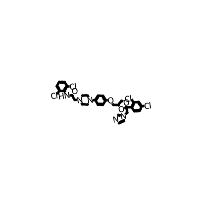 O=C(CN1CCN(c2ccc(OCC3COC(Cn4ccnc4)(c4ccc(Cl)cc4Cl)O3)cc2)CC1)Nc1c(Cl)cccc1Cl